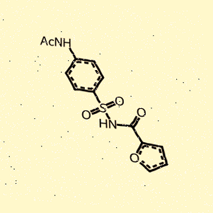 CC(=O)Nc1ccc(S(=O)(=O)NC(=O)c2ccco2)cc1